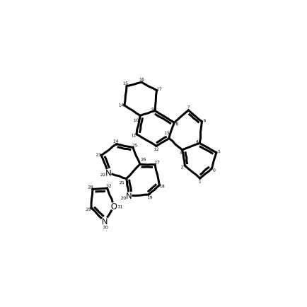 c1ccc2c(c1)ccc1c3c(ccc12)CCCC3.c1cnc2ncccc2c1.c1cnoc1